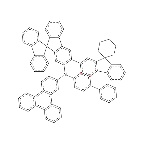 c1ccc(-c2ccc(N(c3ccc4c5ccccc5c5ccccc5c4c3)c3cc4c(cc3-c3ccc5c(c3)C3(CCCCC3)c3ccccc3-5)-c3ccccc3C43c4ccccc4-c4ccccc43)cc2)cc1